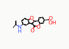 C=C(C)Nc1ccc2oc3c4ccc(C(=O)O)cc4oc(=O)c3c2c1